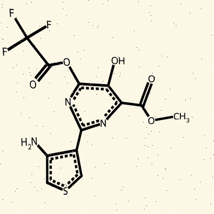 COC(=O)c1nc(-c2cscc2N)nc(OC(=O)C(F)(F)F)c1O